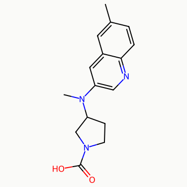 Cc1ccc2ncc(N(C)C3CCN(C(=O)O)C3)cc2c1